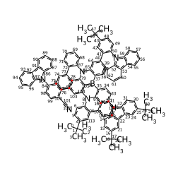 CC(C)(C)c1ccc(N2c3cc(-n4c5ccc(C(C)(C)C)cc5c5cc(C(C)(C)C)ccc54)ccc3B3c4c#cc(-c5cc(C(C)(C)C)ccc5-n5c6c(c7ccccc75)C=CCC6)cc4N(c4ccccc4-c4ccccc4)c4cc(-c5cc(-n6c7ccccc7c7ccccc76)ccc5C#N)cc2c43)c(-c2ccccc2)c1